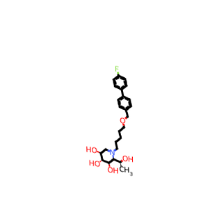 C[C@@H](O)[C@H]1[C@@H](O)[C@H](O)[C@@H](O)CN1CCCCCOCc1ccc(-c2ccc(F)cc2)cc1